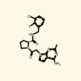 Cc1nc(N)c2ccn(CC(=O)N3CCC[C@H]3C(=O)NCc3cccc(Cl)c3F)c2n1